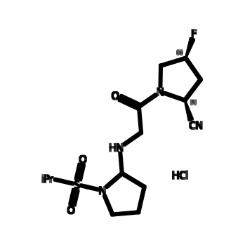 CC(C)S(=O)(=O)N1CCCC1NCC(=O)N1C[C@@H](F)C[C@H]1C#N.Cl